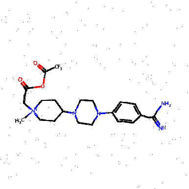 C[N+]1(CC(=O)OC(=O)C(F)(F)F)CCC(N2CCN(c3ccc(C(=N)N)cc3)CC2)CC1